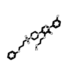 CCOCCOc1c(N2CCN(S(=O)(=O)CCCOc3ccccc3)CC2)cnn(-c2cccc(Cl)c2)c1=O